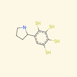 Sc1cc(C2CCC[N]2)c(S)c(S)c1S